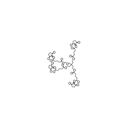 O=C(CCCC(=O)ON1C(=O)CCC1=O)OCCC(CCOC(=O)CCCC(=O)ON1C(=O)CCC1=O)(CCOC(=O)CCCC(=O)ON1C(=O)CCC1=O)COCOC(=O)CCCC(=O)ON1C(=O)CCC1=O